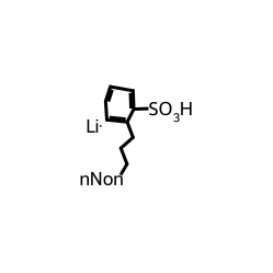 CCCCCCCCCCCCc1ccccc1S(=O)(=O)O.[Li]